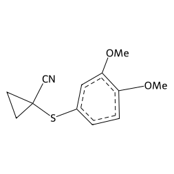 COc1ccc(SC2(C#N)CC2)cc1OC